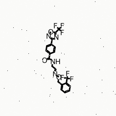 O=C(NCC=NOCc1ccccc1C(F)(F)F)c1ccc(-c2noc(C(F)(F)F)n2)cc1